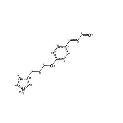 O=C/C=C/c1ccc(OCCCc2c[nH]cn2)cc1